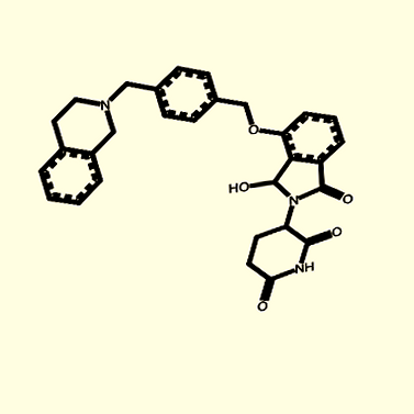 O=C1CCC(N2C(=O)c3cccc(OCc4ccc(CN5CCc6ccccc6C5)cc4)c3C2O)C(=O)N1